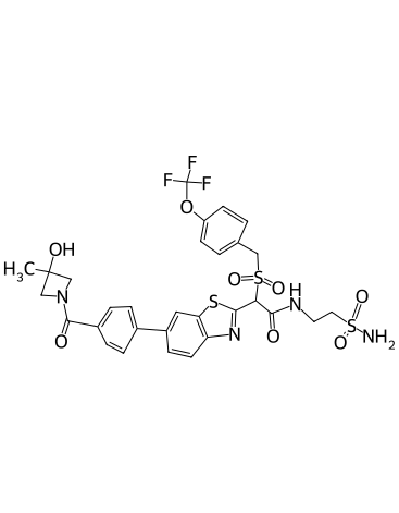 CC1(O)CN(C(=O)c2ccc(-c3ccc4nc(C(C(=O)NCCS(N)(=O)=O)S(=O)(=O)Cc5ccc(OC(F)(F)F)cc5)sc4c3)cc2)C1